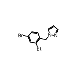 CCc1cc(Br)ccc1Cn1cccn1